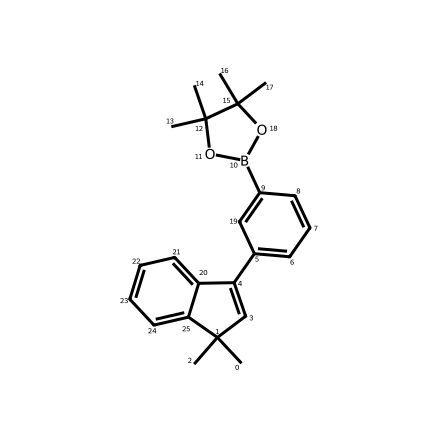 CC1(C)C=C(c2cccc(B3OC(C)(C)C(C)(C)O3)c2)c2ccccc21